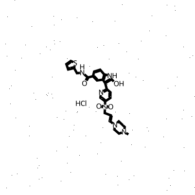 CN1CCN(C=CCS(=O)(=O)c2ccc(-c3c(O)[nH]c4ccc(C(=O)NCc5cccs5)cc34)nc2)CC1.Cl